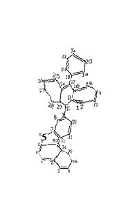 C1=Cc2ccc3sc4cc(C5c6ccccc6C(c6ccccc6)=C6C=CCCC65)ccc4c3c2CC1